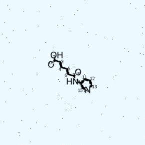 O=C(O)C=CC=CC(=O)Nc1cccnc1